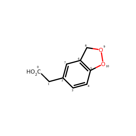 O=C(O)Cc1ccc2c(c1)COO2